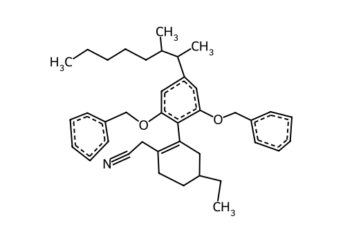 CCCCCC(C)C(C)c1cc(OCc2ccccc2)c(C2=C(CC#N)CCC(CC)C2)c(OCc2ccccc2)c1